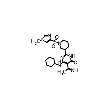 CC(=N)c1c(NC2CCCCC2)nc(C2CCCN(S(=O)(=O)c3cn(C)cn3)C2)[nH]c1=O